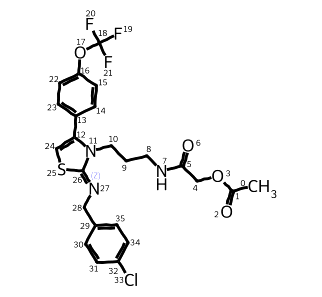 CC(=O)OCC(=O)NCCCn1c(-c2ccc(OC(F)(F)F)cc2)cs/c1=N\Cc1ccc(Cl)cc1